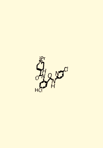 CC(C)N1CC=C(C(=O)Nc2ccccc2C(=O)Nc2ccc(Cl)cn2)CC1.Cl